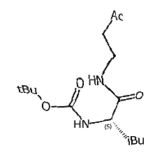 CCC(C)[C@H](NC(=O)OC(C)(C)C)C(=O)NCCC(C)=O